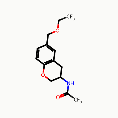 O=C(NC1COc2ccc(COCC(F)(F)F)cc2C1)C(F)(F)F